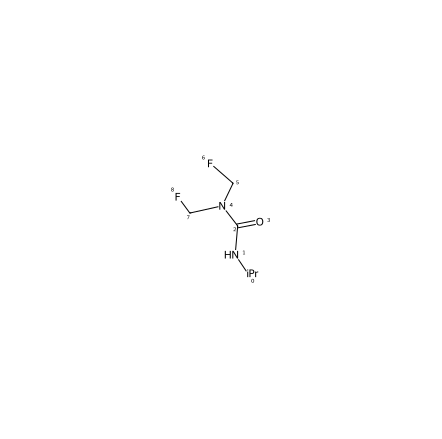 CC(C)NC(=O)N(CF)CF